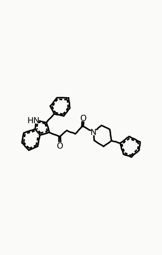 O=C(CCC(=O)N1CCC(c2ccccc2)CC1)c1c(-c2ccccc2)[nH]c2ccccc12